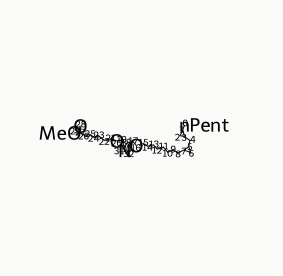 CCCCCC1CC1CC1CC1CCCCCCCCOCC(COCCCCCCC(=O)OC)N(C)C